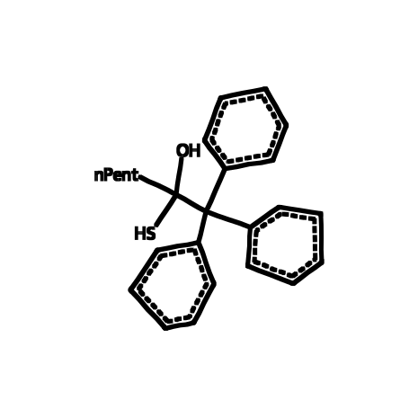 CCCCCC(O)(S)C(c1ccccc1)(c1ccccc1)c1ccccc1